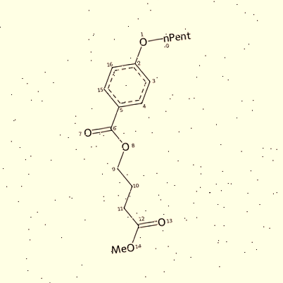 CCCCCOc1ccc(C(=O)OCCCC(=O)OC)cc1